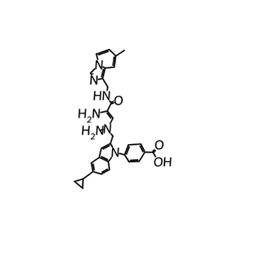 Cc1ccn2cnc(CNC(=O)/C(N)=C/N(N)Cc3cc4cc(C5CC5)ccc4n3-c3ccc(C(=O)O)cc3)c2c1